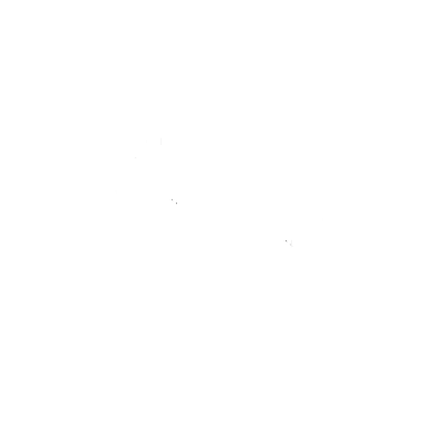 CC1(C)CC(=O)c2ccc(C#Cc3cccc(N4CCOCC4)c3)nc2C1